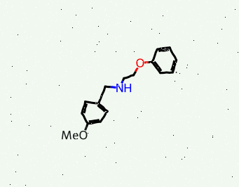 COc1ccc(CNCCOc2c[c]ccc2)cc1